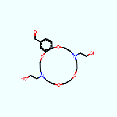 O=Cc1ccc2c(c1)OCCN(CCO)CCOCCOCCN(CCO)CCO2